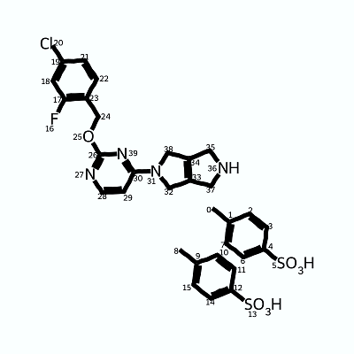 Cc1ccc(S(=O)(=O)O)cc1.Cc1ccc(S(=O)(=O)O)cc1.Fc1cc(Cl)ccc1COc1nccc(N2CC3=C(CNC3)C2)n1